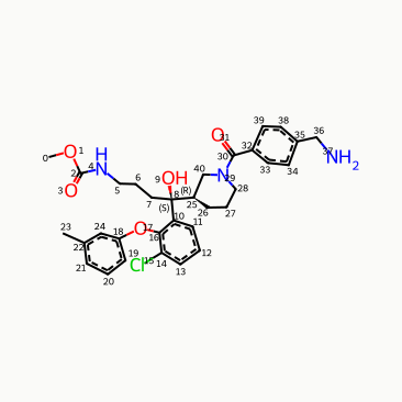 COC(=O)NCCC[C@@](O)(c1cccc(Cl)c1Oc1cccc(C)c1)[C@@H]1CCCN(C(=O)c2ccc(CN)cc2)C1